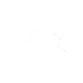 CSNn1c(=O)[nH]c2cc(C(F)(F)F)c(C(O)C(C)C)cc2c1=O